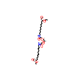 CCOC(=C=O)CCCCCCCCCCN(C)C(=O)CO[C@H](C)[C@@H](C)OCC(=O)N(C)CCCCCCCCCCC(=C=O)OCC